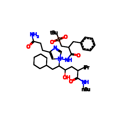 CCCCNC(=O)C(CC(O)C(CC1CCCCC1)[N+]1(NC(=O)C(Cc2ccccc2)CS(=O)(=O)C(C)(C)C)C=NC(CCC(N)=O)=C1)C(C)C